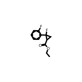 CCOC(=O)C1CC1(F)c1ccccc1F